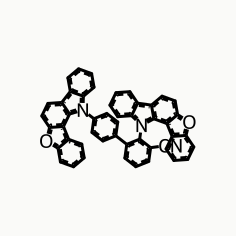 N#Cc1cccc(-c2ccc(-n3c4ccccc4c4ccc5oc6ccccc6c5c43)cc2)c1-n1c2ccccc2c2ccc3oc4ccccc4c3c21